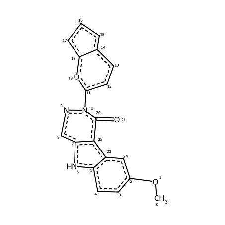 COc1ccc2[nH]c3cnn(-c4ccc5cccc-5o4)c(=O)c3c2c1